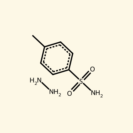 Cc1ccc(S(N)(=O)=O)cc1.NN